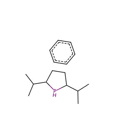 CC(C)C1CCC(C(C)C)P1.c1ccccc1